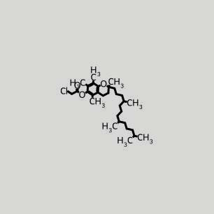 Cc1c(C)c2c(c(C)c1OC(=O)CCl)CCC(C)(CCCC(C)CCCC(C)CCCC(C)C)O2